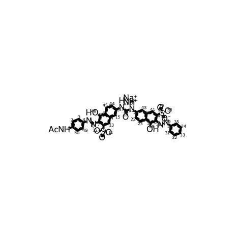 CC(=O)Nc1ccc(N=Nc2c(S(=O)(=O)[O-])cc3cc(NC(=O)Nc4ccc5c(O)c(N=Nc6ccccc6)c(S(=O)(=O)[O-])cc5c4)ccc3c2O)cc1.[Na+].[Na+]